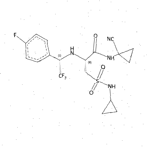 N#CC1(NC(=O)[C@H](CS(=O)(=O)NC2CC2)N[C@@H](c2ccc(F)cc2)C(F)(F)F)CC1